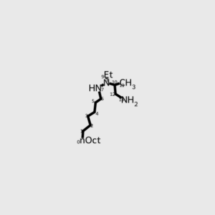 CCCCCCCCCCCCCCNN(CC)C(C)CN